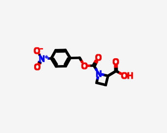 O=C(O)C1CCN1C(=O)OCc1ccc([N+](=O)[O-])cc1